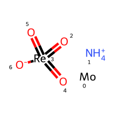 [Mo].[NH4+].[O]=[Re](=[O])(=[O])[O-]